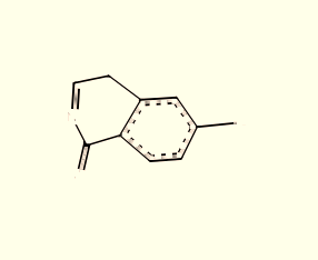 O=C1N=CCc2cc(Br)ccc21